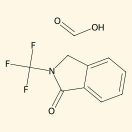 O=C1c2ccccc2CN1C(F)(F)F.O=CO